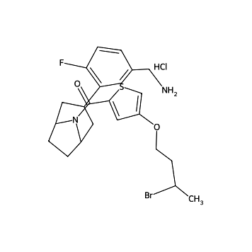 CC(Br)CCOc1csc(C(=O)N2C3CCC2CC(c2cc(CN)ccc2F)C3)c1.Cl